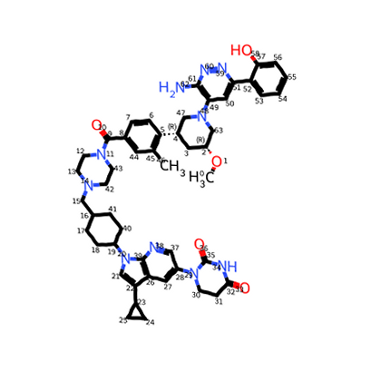 CO[C@@H]1C[C@H](c2ccc(C(=O)N3CCN(CC4CCC(n5cc(C6CC6)c6cc(N7CCC(=O)NC7=O)cnc65)CC4)CC3)cc2C)CN(c2cc(-c3ccccc3O)nnc2N)C1